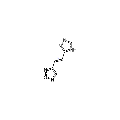 C(=C\c1nnc[nH]1)/c1cnon1